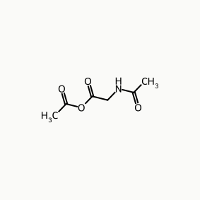 CC(=O)NCC(=O)OC(C)=O